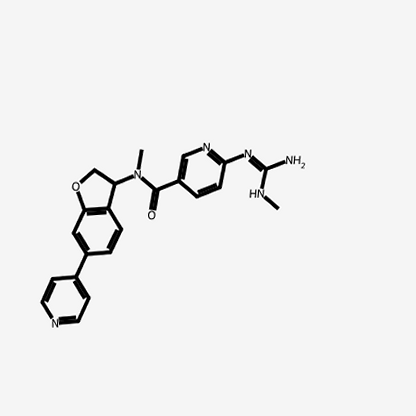 CNC(N)=Nc1ccc(C(=O)N(C)C2COc3cc(-c4ccncc4)ccc32)cn1